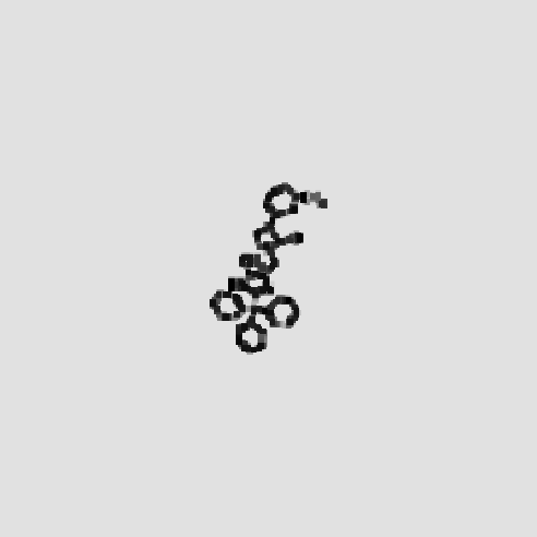 Cc1cccc(N2CCN(Cc3nc(C(c4ccccc4)(c4ccccc4)c4ccccc4)[nH]c3C)C2=O)c1